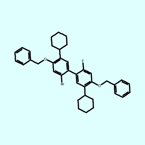 Fc1cc(OCc2ccccc2)c(C2CCCCC2)cc1-c1cc(C2CCCCC2)c(OCc2ccccc2)cc1Br